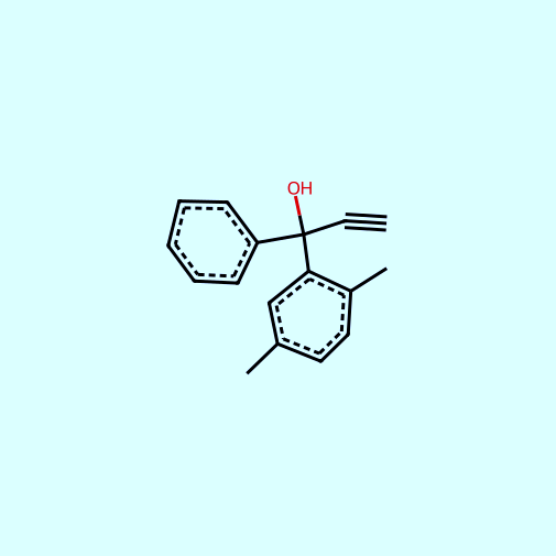 C#CC(O)(c1ccccc1)c1cc(C)ccc1C